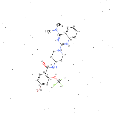 CN(C)c1nc(N2CCC(NC(=O)c3ccc(Br)cc3OC(F)(F)F)CC2)nc2ccccc12